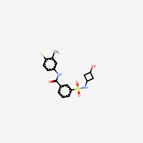 Cc1cc(NC(=O)c2cccc(S(=O)(=O)NC3CC(O)C3)c2)ccc1F